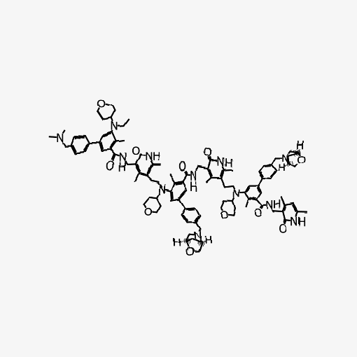 CCN(c1cc(-c2ccc(CN(C)C)cc2)cc(C(=O)NCc2c(C)c(CCN(c3cc(-c4ccc(CN5C[C@H]6C[C@@H]5CO6)cc4)cc(C(=O)NCc4c(C)c(CCN(c5cc(-c6ccc(CN7C[C@@H]8C[C@H]7CO8)cc6)cc(C(=O)NCc6c(C)cc(C)[nH]c6=O)c5C)C5CCOCC5)c(C)[nH]c4=O)c3C)C3CCOCC3)c(C)[nH]c2=O)c1C)C1CCOCC1